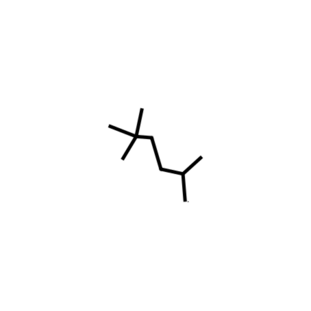 [CH2]C(C)CCC(C)(C)C